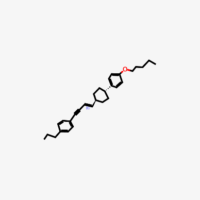 CCCCCOc1ccc([C@H]2CC[C@H](/C=C/C#Cc3ccc(CCC)cc3)CC2)cc1